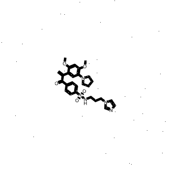 C=C(C(=O)c1ccc(S(=O)(=O)NCCCn2ccnc2)cc1)c1cc(N2CCCC2)c(OC)cc1OC